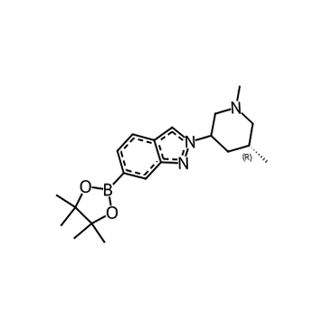 C[C@@H]1CC(n2cc3ccc(B4OC(C)(C)C(C)(C)O4)cc3n2)CN(C)C1